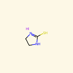 I.SC1=NCCN1